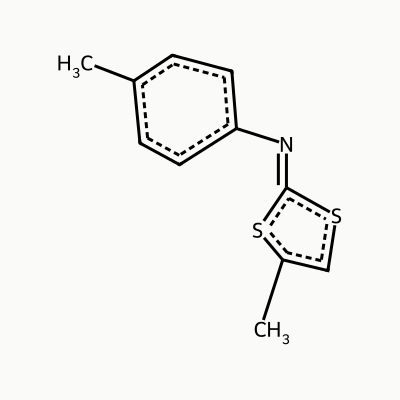 Cc1ccc(/N=c2/scc(C)s2)cc1